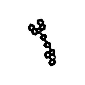 c1ccc2c(c1)Sc1ccc(-c3ccc(-c4ccc(-n5c6ccc7ccccc7c6c6c7ccccc7ccc65)cc4)cc3)c3cccc-2c13